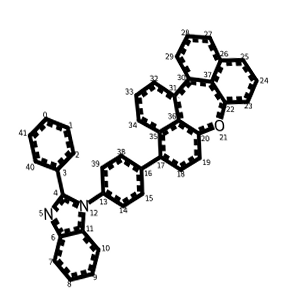 c1ccc(-c2nc3ccccc3n2-c2ccc(-c3ccc4oc5cccc6cccc(c7cccc3c47)c65)cc2)cc1